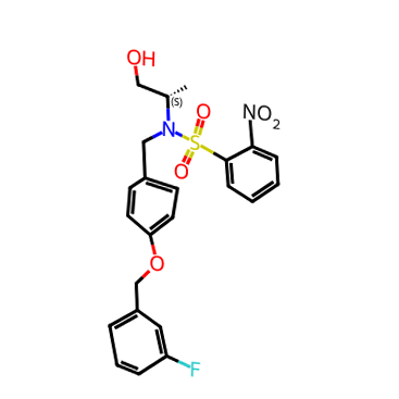 C[C@@H](CO)N(Cc1ccc(OCc2cccc(F)c2)cc1)S(=O)(=O)c1ccccc1[N+](=O)[O-]